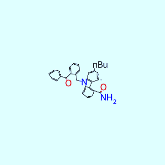 CCCCc1c[c]c2c3c(C(N)=O)cccc3n(Cc3ccccc3C(=O)c3ccccc3)c2c1